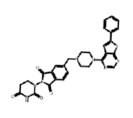 O=C1CCN(N2C(=O)c3ccc(CN4CCN(c5ncnc6sc(-c7ccccc7)cc56)CC4)cc3C2=O)C(=O)N1